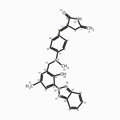 C=C1C/C(=C\c2ccc(N(C)Cc3cc(C)cc(-n4nc5ccccc5n4)c3O)cc2)C(=O)N1